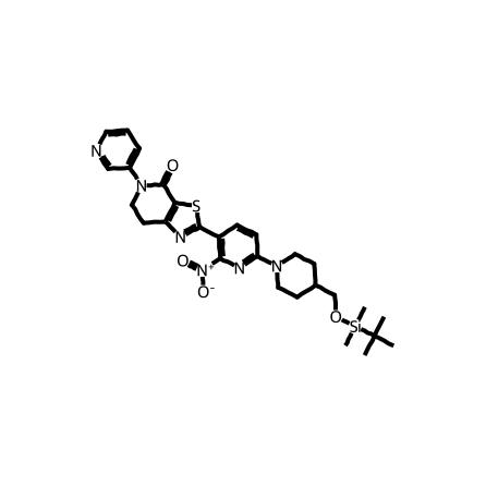 CC(C)(C)[Si](C)(C)OCC1CCN(c2ccc(-c3nc4c(s3)C(=O)N(c3cccnc3)CC4)c([N+](=O)[O-])n2)CC1